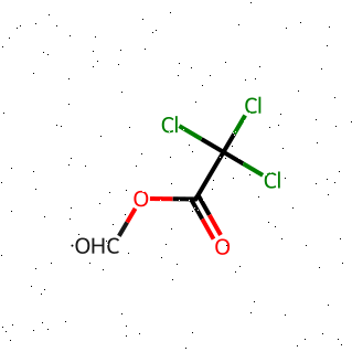 O=[C]OC(=O)C(Cl)(Cl)Cl